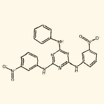 O=[N+]([O-])c1cccc(Nc2nc(Nc3ccccc3)nc(Nc3cccc([N+](=O)[O-])c3)n2)c1